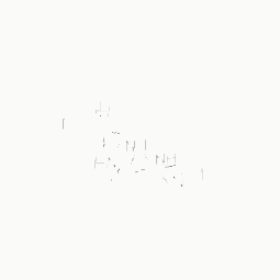 CC(C)(O)Cc1ccc2c(c1)NC(=O)c1ccc(Nc3ccnc(Cl)c3)cc1N2